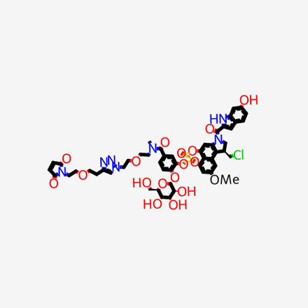 COc1ccc2c(OS(=O)(=O)Oc3cc(C(=O)N(C)CCOCCn4cc(CCOCCN5C(=O)C=CC5=O)nn4)ccc3O[C@@H]3O[C@H](CO)[C@H](O)[C@H](O)[C@H]3O)cc3c(c2c1)[C@H](CCl)CN3C(=O)c1cc2ccc(O)cc2[nH]1